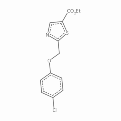 CCOC(=O)c1cnc(COc2ccc(Cl)cc2)s1